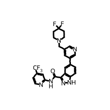 O=C(Nc1cc(C(F)(F)F)ccn1)c1n[nH]c2ccc(-c3cncc(CN4CCC(F)(F)CC4)c3)cc12